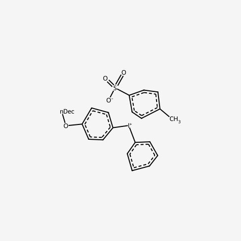 CCCCCCCCCCOc1ccc([I+]c2ccccc2)cc1.Cc1ccc(S(=O)(=O)[O-])cc1